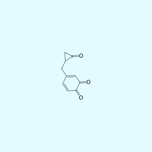 O=C1C=CC(CC2CC2=O)=CC1=O